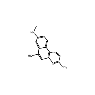 CNc1ccc2c(n1)c(O)cc1nc(N)ccc12